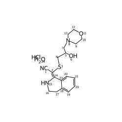 Cl.N#CC(SCC(O)CN1CCOCC1)=C1NCCc2ccccc21.O